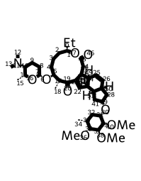 CC[C@H]1CCC[C@H](O[C@H]2CC[C@H](N(C)C)[C@@H](C)O2)[C@@H](C)C(=O)C2=C[C@@H]3[C@@H](C=C[C@@H]4C[C@@H](O[C@@H]5C[C@@H](C)[C@H](OC)[C@@H](OC)[C@H]5OC)C[C@@H]34)[C@@H]2CC(=O)O1